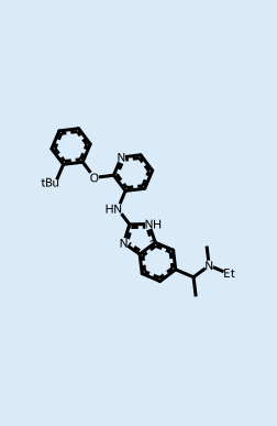 CCN(C)C(C)c1ccc2nc(Nc3cccnc3Oc3ccccc3C(C)(C)C)[nH]c2c1